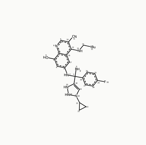 BC(Nc1cc(O)c2ncc(C#N)c(NCC(C)(C)C)c2c1)(C1=CN(C2CC2)NN1)c1ccc(F)cc1